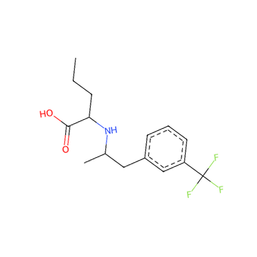 CCCC(NC(C)Cc1cccc(C(F)(F)F)c1)C(=O)O